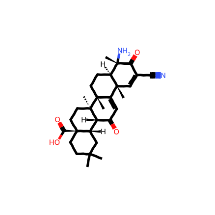 CC1(C)CC[C@]2(C(=O)O)CC[C@]3(C)[C@H](C(=O)C=C4[C@@]5(C)C=C(C#N)C(=O)[C@@](C)(N)[C@@H]5CC[C@]43C)[C@@H]2C1